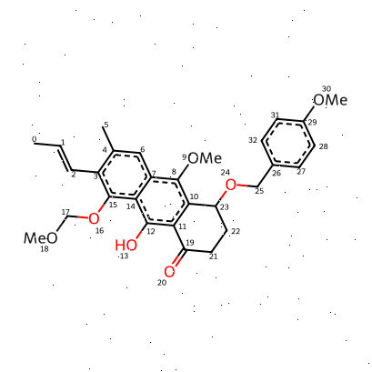 CC=Cc1c(C)cc2c(OC)c3c(c(O)c2c1OCOC)C(=O)CCC3OCc1ccc(OC)cc1